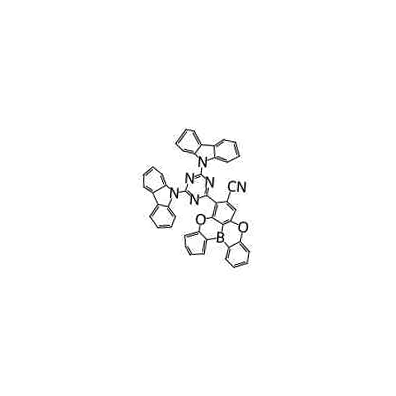 N#Cc1cc2c3c(c1-c1nc(-n4c5ccccc5c5ccccc54)nc(-n4c5ccccc5c5ccccc54)n1)Oc1ccccc1B3c1ccccc1O2